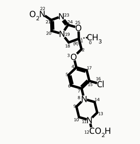 C[C@]1(COc2ccc(N3CCN(C(=O)O)CC3)c(Cl)c2)Cn2cc([N+](=O)[O-])nc2O1